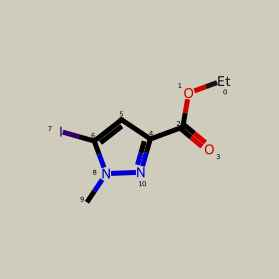 CCOC(=O)c1cc(I)n(C)n1